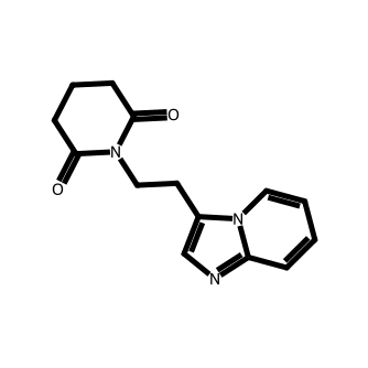 O=C1CCCC(=O)N1CCc1cnc2ccccn12